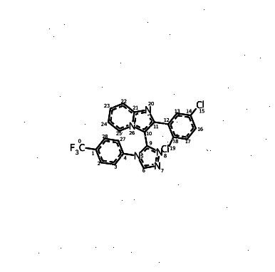 FC(F)(F)c1ccc(-n2cnnc2-c2c(-c3cc(Cl)ccc3Cl)nc3ccccn23)cc1